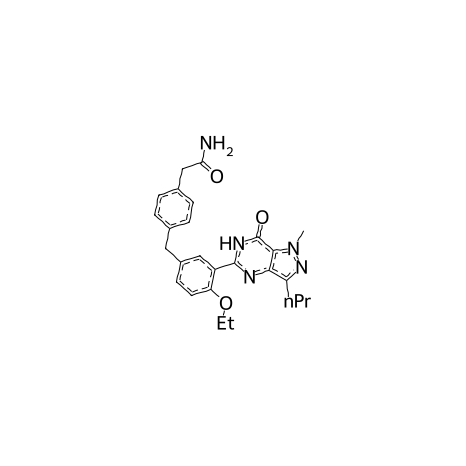 CCCc1nn(C)c2c(=O)[nH]c(-c3cc(Cc4ccc(CC(N)=O)cc4)ccc3OCC)nc12